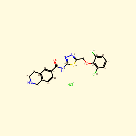 Cl.O=C(Nc1nnc(COc2c(Cl)cccc2Cl)s1)c1ccc2c(c1)CCNC2